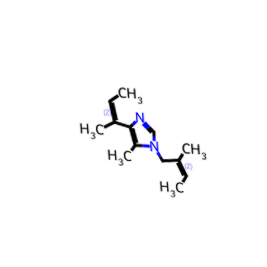 C/C=C(/C)Cn1cnc(/C(C)=C\C)c1C